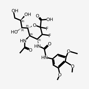 COc1cc(NC(=O)N[C@H]2C(F)C(F)(C(=O)O)O[C@@H]([C@H](O)[C@H](O)CO)[C@@H]2NC(C)=O)cc(OC)c1OC